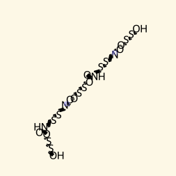 O=C(NCCSCSCC/N=C/OOCSCSCOC(=O)NCCSCSCC/N=C/OOCSCSCO)OCSCSCO